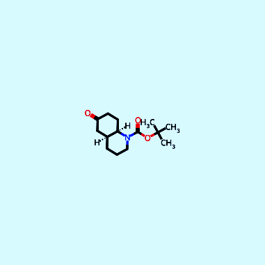 CC(C)(C)OC(=O)N1CCC[C@H]2CC(=O)CC[C@H]21